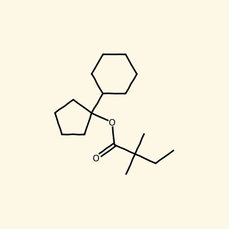 CCC(C)(C)C(=O)OC1(C2CCCCC2)CCCC1